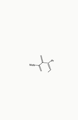 C=C(NC)C(=C)/C(=C\C)C(C)C